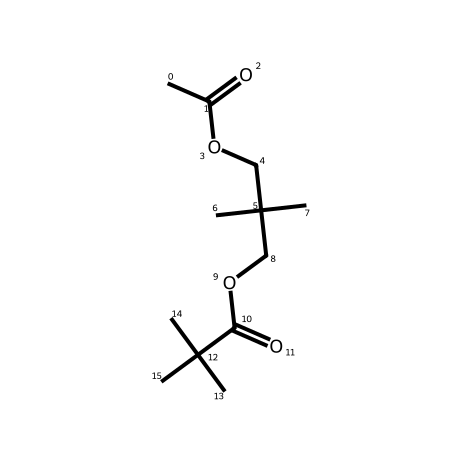 CC(=O)OCC(C)(C)COC(=O)C(C)(C)C